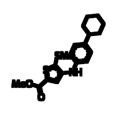 COC(=O)c1cc(Nc2ccc(C3CCCCC3)cc2)c(SC)s1